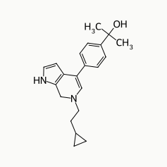 CC(C)(O)c1ccc(C2=CN(CCC3CC3)Cc3[nH]ccc32)cc1